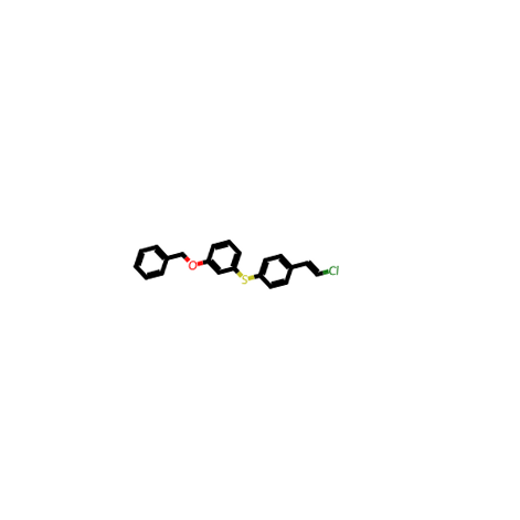 ClC=Cc1ccc(Sc2cccc(OCc3ccccc3)c2)cc1